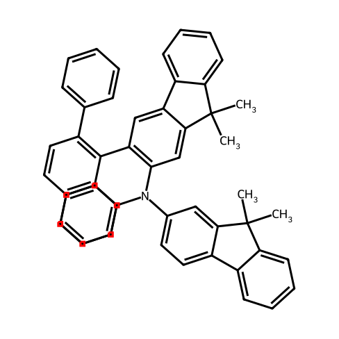 CC1(C)c2ccccc2-c2ccc(N(c3ccccc3)c3cc4c(cc3-c3c(-c5ccccc5)ccc5c3CCCC5)-c3ccccc3C4(C)C)cc21